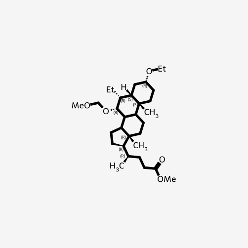 CCO[C@@H]1CC[C@]2(C)C3CC[C@@]4(C)C(CC[C@@H]4[C@H](C)CCC(=O)OC)C3[C@H](OCOC)[C@H](CC)[C@@H]2C1